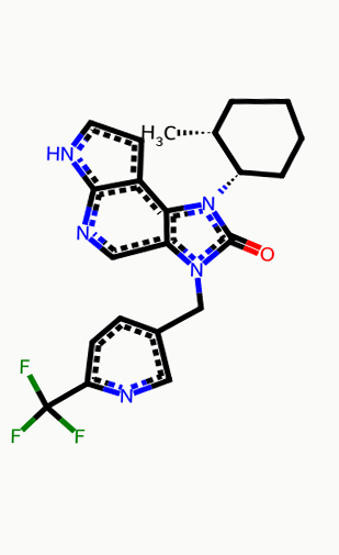 C[C@@H]1CCCC[C@@H]1n1c(=O)n(Cc2ccc(C(F)(F)F)nc2)c2cnc3[nH]ccc3c21